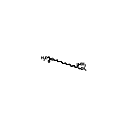 C=CC(=O)OCCCCCCCCCCC[SiH](CC)CC